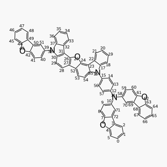 c1ccc2c(c1)oc1ccc(N(c3ccc(-n4c5ccccc5c5c6oc7c(ccc8c7c7ccccc7n8-c7ccc8oc9ccccc9c8c7)c6ccc54)cc3)c3ccc4oc5ccccc5c4c3)cc12